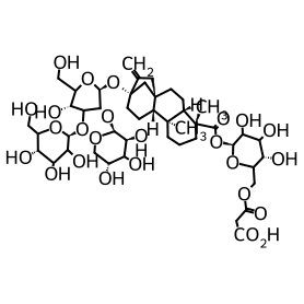 C=C1C[C@@]23CC[C@H]4[C@@](C)(CCC[C@@]4(C)C(=O)O[C@@H]4OC(COC(=O)CC(=O)O)[C@@H](O)C(O)C4O)[C@@H]2CC[C@]1(O[C@@H]1OC(CO)[C@@H](O)C(O[C@@H]2OC(CO)[C@@H](O)C(O)C2O)C1O[C@@H]1OC[C@@H](O)C(O)[C@@H]1O)C3